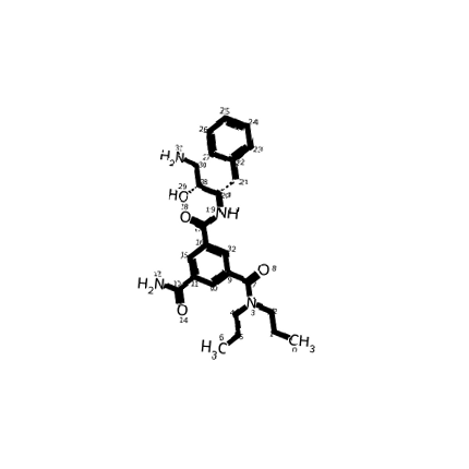 CCCN(CCC)C(=O)c1cc(C(N)=O)cc(C(=O)N[C@@H](Cc2ccccc2)[C@H](O)CN)c1